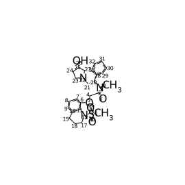 CN(C(=O)COc1cccc2c1N(S(C)(=O)=O)CCC2)[C@H](CN1CC[C@H](O)C1)c1ccccc1